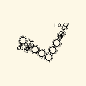 C1CCCCCCCCC1.C1CCCCCCCCC1.C1CCCCCCCCC1.C1CCCCCCCCC1.C1CCCCCCCCC1.C=C(C)C(=O)O.C=C(C)C(=O)OC1CC2CCC1(C)C2(C)C.C=CC(=O)OC1CC2CCC1(C)C2(C)C.O=C(O)C=CC1CCCCCCCCC1